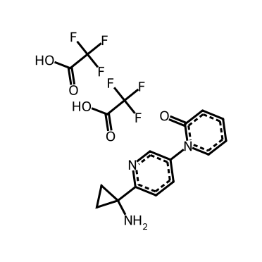 NC1(c2ccc(-n3ccccc3=O)cn2)CC1.O=C(O)C(F)(F)F.O=C(O)C(F)(F)F